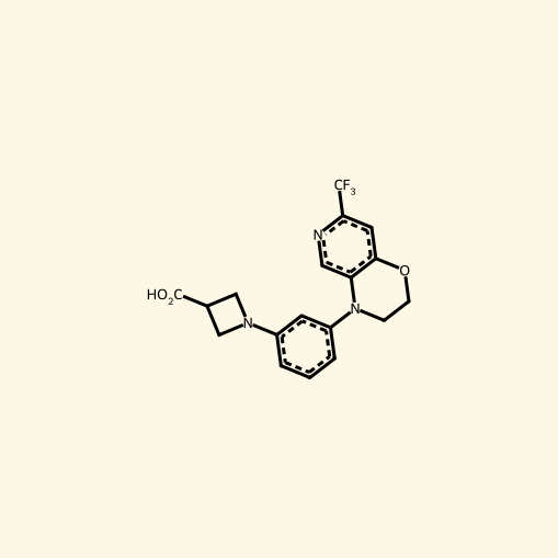 O=C(O)C1CN(c2cccc(N3CCOc4cc(C(F)(F)F)ncc43)c2)C1